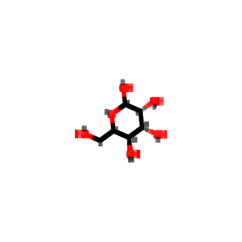 OCC1OC(O)[C@H](O)[C@H](O)[C@H]1O